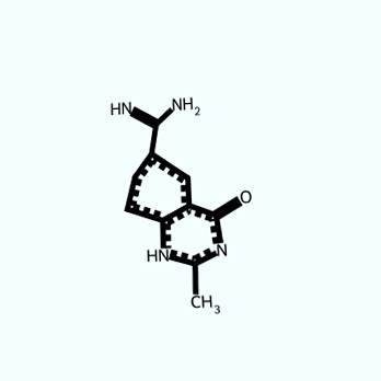 Cc1nc(=O)c2cc(C(=N)N)ccc2[nH]1